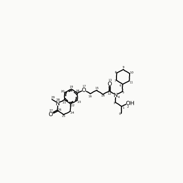 CC(O)CN(CC1CCCCC1)C(=O)CCCOc1ccc2c(c1)CCC(=O)N2C